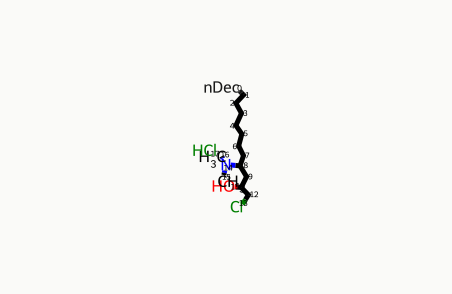 CCCCCCCCCCCCCCCCCC(CC(O)CCl)N(C)C.Cl